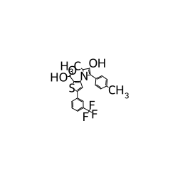 Cc1ccc(C2=C(O)C(C)N2c2cc(-c3cccc(C(F)(F)F)c3)sc2C(=O)O)cc1